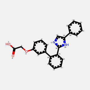 O=C(O)COc1cccc(-c2ccccc2-c2ncc(-c3ccccc3)[nH]2)c1